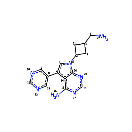 NCC1CC(n2cc(-c3cncnc3)c3c(N)ncnc32)C1